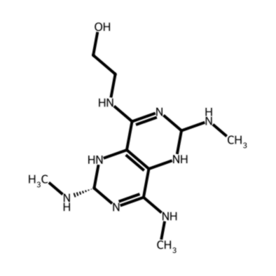 CNC1=N[C@H](NC)NC2=C1NC(NC)N=C2NCCO